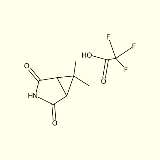 CC1(C)C2C(=O)NC(=O)C21.O=C(O)C(F)(F)F